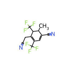 CC1C(C#N)=CC(C(F)(F)F)=C(CC#N)C1C(F)(F)F